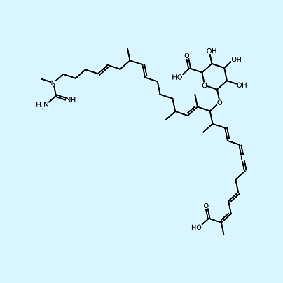 CC(=CC=CCC=C=CC=CC(C)C(OC1OC(C(=O)O)C(O)C(O)C1O)C(C)=CC(C)CCCC=CC(C)CC=CCCCN(C)C(=N)N)C(=O)O